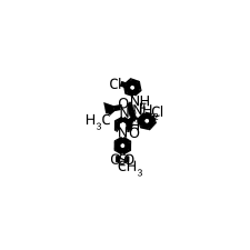 CC1CC1CN1C2CCN(c3ccc(S(C)(=O)=O)cc3)C(=O)[C@H]2[C@H](c2cccc(Cl)c2F)[C@]1(N)C(=O)Nc1cccc(Cl)c1